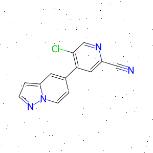 N#Cc1cc(-c2ccn3nccc3c2)c(Cl)cn1